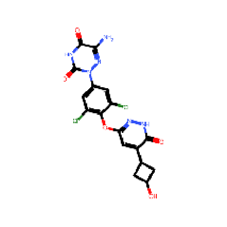 Nc1nn(-c2cc(Cl)c(Oc3cc(C4CC(O)C4)c(=O)[nH]n3)c(Cl)c2)c(=O)[nH]c1=O